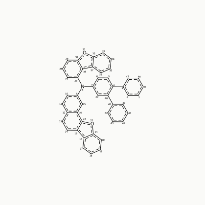 c1ccc(-c2ccc(N(c3ccc4ccc5c6ccccc6oc5c4c3)c3cccc4oc5ccccc5c34)cc2-c2ccccc2)cc1